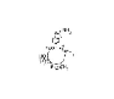 CC[C@H]1C(=O)C(C)(C)[C@@H](O)CC(=O)O[C@H](c2ccc3sc(CN)nc3c2)C[C@@H]2O[C@]2(C)CCC[C@H](C)[C@@H]1O